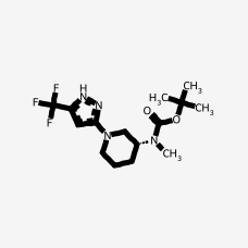 CN(C(=O)OC(C)(C)C)[C@@H]1CCCN(c2cc(C(F)(F)F)[nH]n2)C1